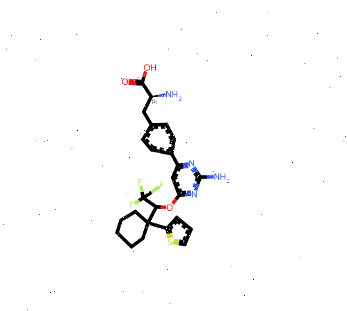 Nc1nc(OC(C(F)(F)F)C2(c3cccs3)CCCCC2)cc(-c2ccc(C[C@H](N)C(=O)O)cc2)n1